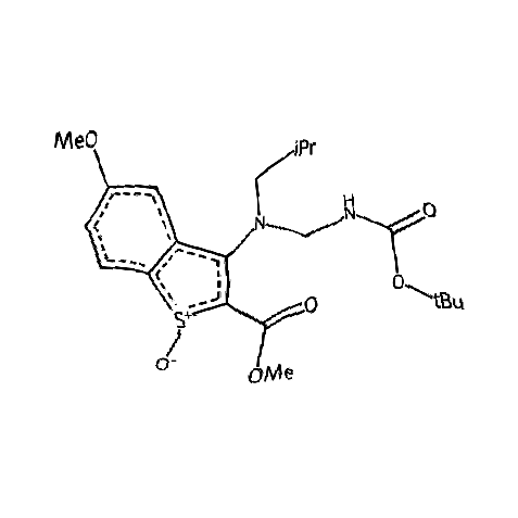 COC(=O)c1c(N(CNC(=O)OC(C)(C)C)CC(C)C)c2cc(OC)ccc2[s+]1[O-]